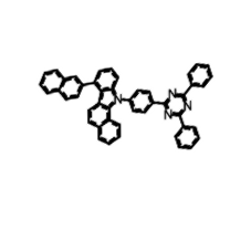 c1ccc(-c2nc(-c3ccccc3)nc(-c3ccc(-n4c5cccc(-c6ccc7ccccc7c6)c5c5ccc6ccccc6c54)cc3)n2)cc1